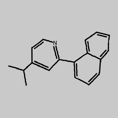 CC(C)c1ccnc(-c2cccc3ccccc23)c1